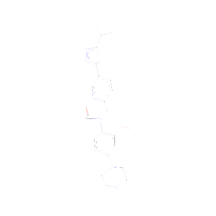 COc1cc(N2CCNCC2)c(F)cc1N(C=O)Cc1ccc(-c2nnc(C(F)F)o2)cn1